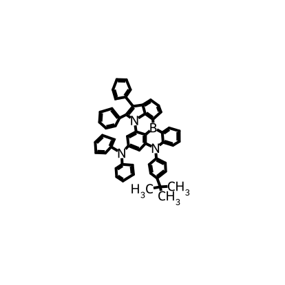 CC(C)(C)c1ccc(N2c3ccccc3B3c4c2cc(N(c2ccccc2)c2ccccc2)cc4-n2c(-c4ccccc4)c(-c4ccccc4)c4cccc3c42)cc1